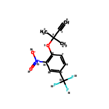 C#CC(C)(C)Oc1ccc(C(F)(F)F)cc1[N+](=O)[O-]